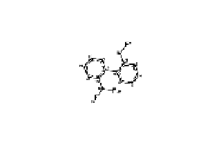 FCc1[c]cccc1-c1ccccc1C(F)F